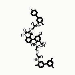 Cc1cc(C)cc(-c2ccc(C)c(NC(=O)COCC(=O)Nc3c(C(=O)O)cc(Cl)cc3-c3c(Cl)ccc(NC(=O)COCC(=O)Nc4cc(-c5ccc(F)cc5)ccc4C)c3C(=O)O)c2)c1